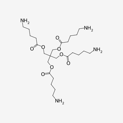 NCCCCC(=O)OCC(COC(=O)CCCCN)(COC(=O)CCCCN)COC(=O)CCCCN